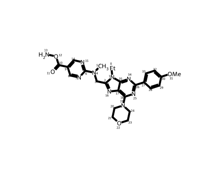 CCn1c(CN(C)c2ncc(C(=O)ON)cn2)nc2c(N3CCOCC3)nc(-c3ccc(OC)cc3)nc21